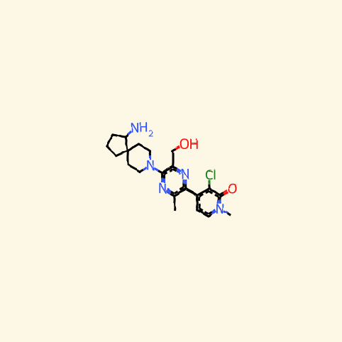 Cc1nc(N2CCC3(CCCC3N)CC2)c(CO)nc1-c1ccn(C)c(=O)c1Cl